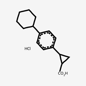 Cl.O=C(O)C1CC1c1ccc(C2CCCCC2)cc1